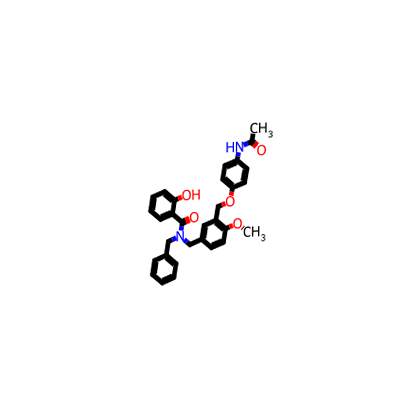 COc1ccc(CN(Cc2ccccc2)C(=O)c2ccccc2O)cc1COc1ccc(NC(C)=O)cc1